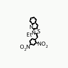 CCN1C(=Cc2ccc([N+](=O)[O-])cc2[N+](=O)[O-])Sc2cc3ccccc3nc21